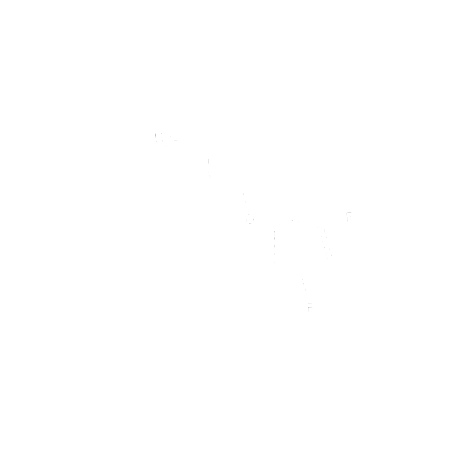 C=C[CH]COc1cc(F)cc(F)c1